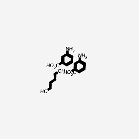 Nc1cccc(C(=O)O)c1.Nc1cccc(C(=O)O)c1.OCCCCO